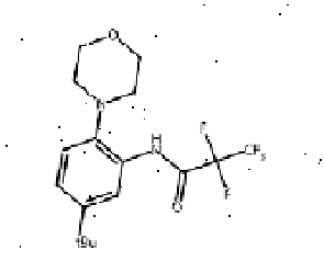 CC(C)(C)c1ccc(N2CCOCC2)c(NC(=O)C(F)(F)C(F)(F)F)c1